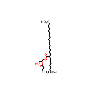 CCCCCCCCCCCCCCCCC(CCCCCCCCCCCCCCCC(=O)O)C(=O)OCC(CO)OC(=O)CCC(=O)O